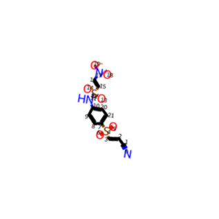 N#C/C=C/S(=O)(=O)c1ccc(NS(=O)(=O)/C=C/[N+](=O)[O-])cc1